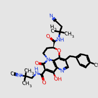 [C-]#[N+]C(C)(C)CNC(=O)c1c(O)c2ncc(Cc3ccc(C)cc3)c3c2n(c1=O)CC[C@@H](C(=O)NC(C)(C)CC#N)O3